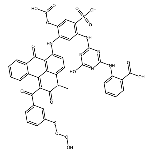 Cn1c(=O)c(C(=O)c2cccc(SOOO)c2)c2c3c(c(Nc4cc(Nc5nc(O)nc(Nc6ccccc6C(=O)O)n5)c(S(=O)(=O)O)cc4OS(=O)O)ccc31)C(=O)c1ccccc1-2